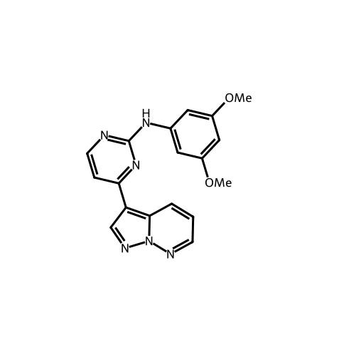 COc1cc(Nc2nccc(-c3cnn4ncccc34)n2)cc(OC)c1